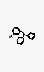 CCc1cccc(CP(c2ccccc2)c2ccccc2)c1